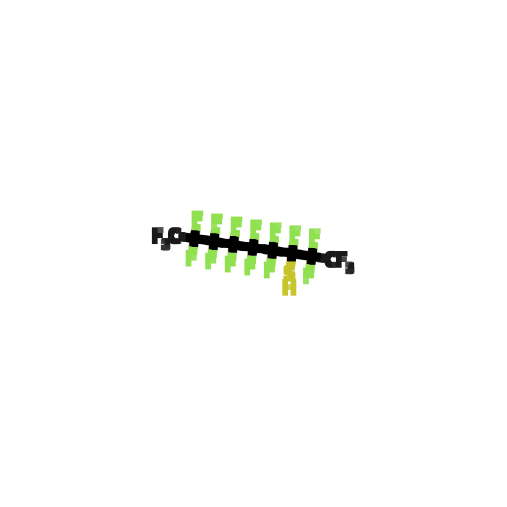 FC(F)(F)C(F)(F)C(F)(F)C(F)(F)C(F)(F)C(F)(F)C(F)(S)C(F)(F)C(F)(F)F